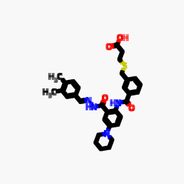 Cc1ccc(/C=N/NC(=O)c2cc(N3CCCCC3)ccc2NC(=O)c2cccc(CSCCC(=O)O)c2)cc1C